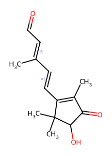 CC1=C(/C=C/C(C)=C/C=O)C(C)(C)C(O)C1=O